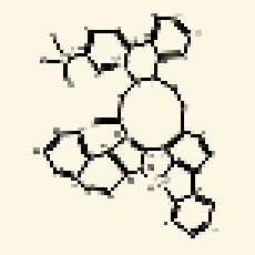 C=C1CC2C(CCc3ccc4c(sc5ccccc54)c3-c3n(C(C)C)c4ccc5ccccc5c4[n+]31)c1ccccc1-c1ccc([Si](C)(C)C)c[n+]12